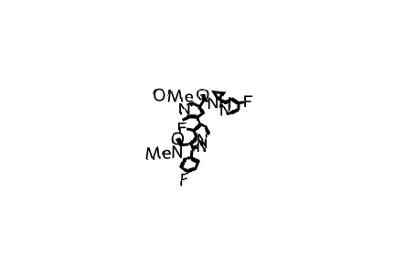 CNC(=O)c1c(-c2ccc(F)cc2)nn2ccc(-c3cc(C(=O)NC4(c5cc(F)ccn5)CC4)c(OC)nc3C)c(F)c12